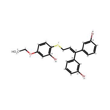 O=C(O)COc1ccc(SCC=C(c2cccc(Br)c2)c2cccc(Br)c2)c(Br)c1